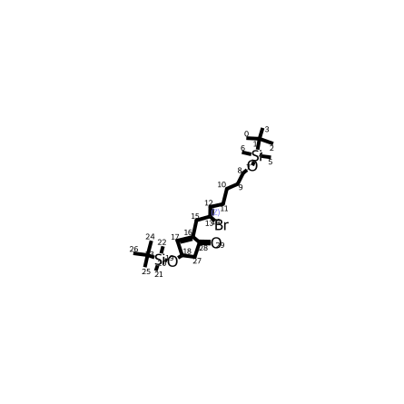 CC(C)(C)[Si](C)(C)OCCCC/C=C(\Br)CC1=CC(O[Si](C)(C)C(C)(C)C)CC1=O